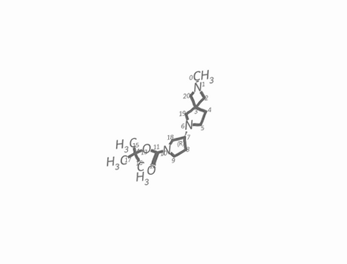 CN1CC2(CCN([C@@H]3CCN(C(=O)OC(C)(C)C)C3)C2)C1